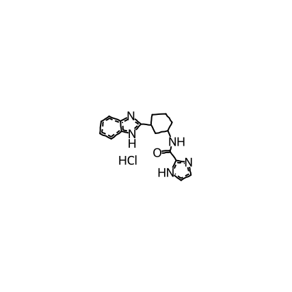 Cl.O=C(NC1CCCC(c2nc3ccccc3[nH]2)C1)c1ncc[nH]1